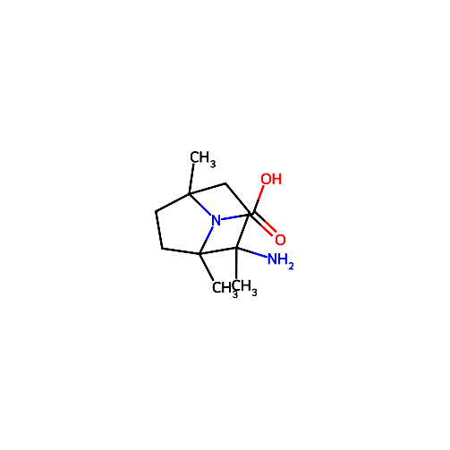 CC12CCC(C)(N)C(C)(CC1)N2C(=O)O